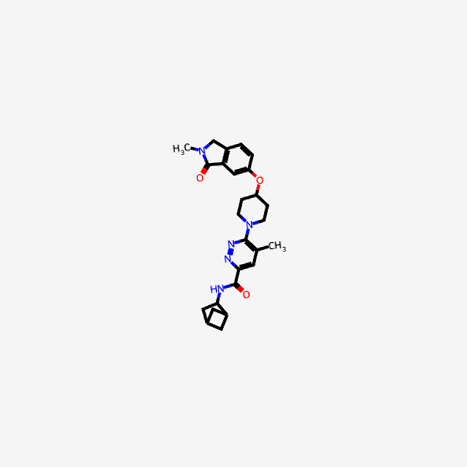 Cc1cc(C(=O)NC2CC3CC2C3)nnc1N1CCC(Oc2ccc3c(c2)C(=O)N(C)C3)CC1